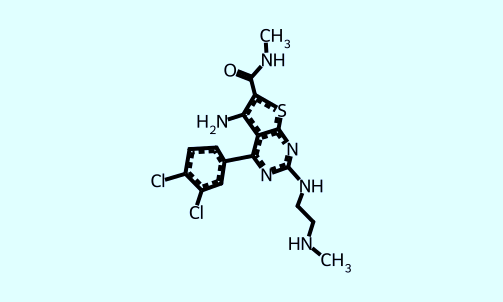 CNCCNc1nc(-c2ccc(Cl)c(Cl)c2)c2c(N)c(C(=O)NC)sc2n1